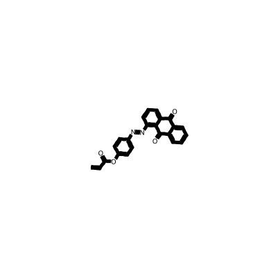 C=CC(=O)Oc1ccc(N=Nc2cccc3c2C(=O)c2ccccc2C3=O)cc1